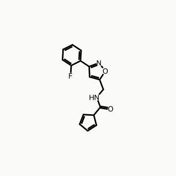 O=C(NCc1cc(-c2ccccc2F)no1)C1C=CC=C1